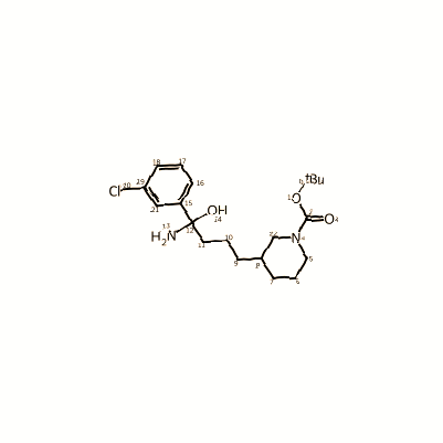 CC(C)(C)OC(=O)N1CCCC(CCCC(N)(O)c2cccc(Cl)c2)C1